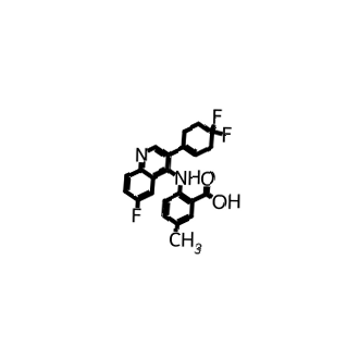 Cc1ccc(Nc2c(C3=CCC(F)(F)CC3)cnc3ccc(F)cc23)c(C(=O)O)c1